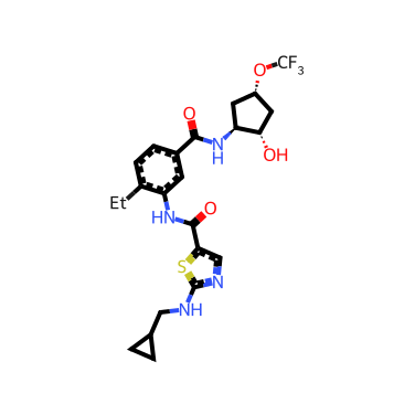 CCc1ccc(C(=O)N[C@H]2C[C@H](OC(F)(F)F)C[C@@H]2O)cc1NC(=O)c1cnc(NCC2CC2)s1